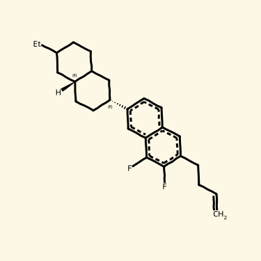 C=CCCc1cc2ccc([C@@H]3CC[C@@H]4CC(CC)CCC4C3)cc2c(F)c1F